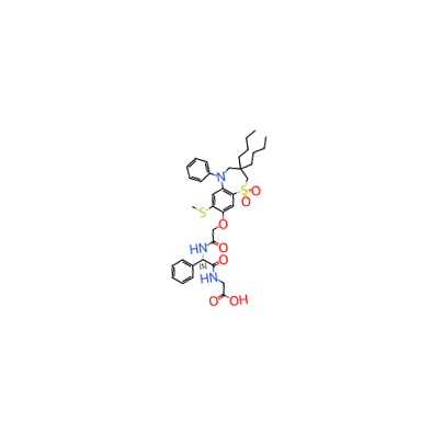 CCCCC1(CCCC)CN(c2ccccc2)c2cc(SC)c(OCC(=O)N[C@H](C(=O)NCC(=O)O)c3ccccc3)cc2S(=O)(=O)C1